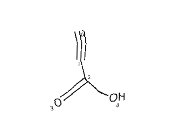 [C]#CC(=O)O